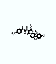 CC1CCC(NC(=O)N[C@@H](C(=O)N2CC[C@](O)(c3ccc(Cl)cc3)C(C)(C)C2)C(C)C)CC1